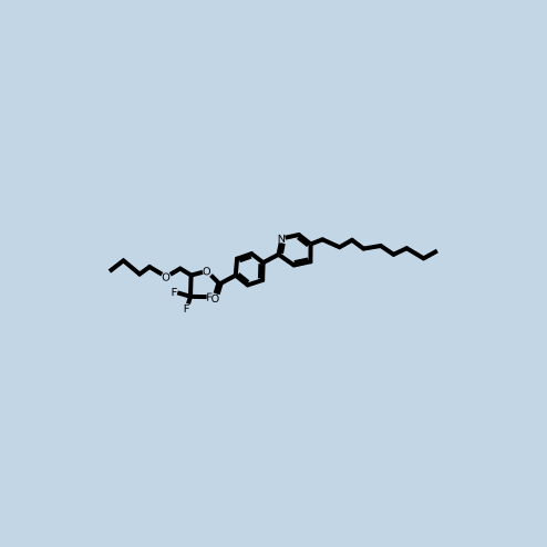 CCCCCCCCCc1ccc(-c2ccc(C(=O)OC(COCCCC)C(F)(F)F)cc2)nc1